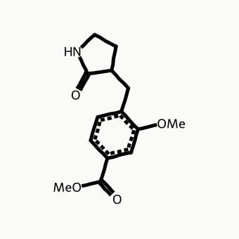 COC(=O)c1ccc(CC2CCNC2=O)c(OC)c1